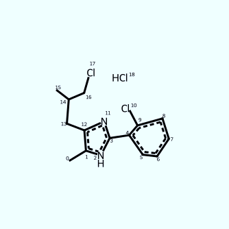 Cc1[nH]c(-c2ccccc2Cl)nc1CC(C)CCl.Cl